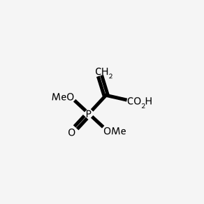 C=C(C(=O)O)P(=O)(OC)OC